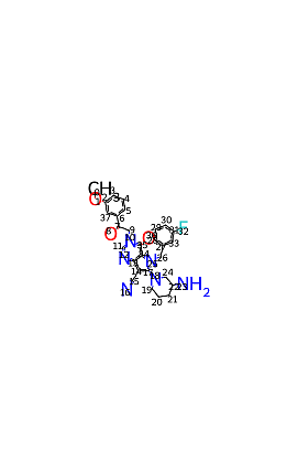 COc1cccc(C(=O)Cn2cnc3c(C#N)c(N4CCCC(N)C4)n(Cc4cccc(F)c4)c3c2=O)c1